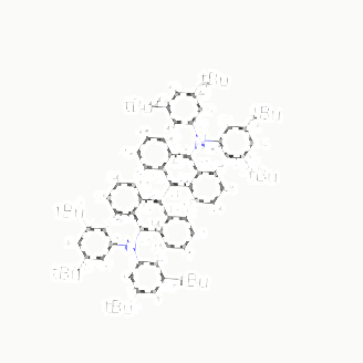 CC(C)(C)c1cc(N(c2cc(C(C)(C)C)cc(C(C)(C)C)c2)c2c3ccccc3c(-c3c4ccccc4c(N(c4cc(C(C)(C)C)cc(C(C)(C)C)c4)c4cc(C(C)(C)C)cc(C(C)(C)C)c4)c4ccccc34)c3ccccc23)cc(C(C)(C)C)c1